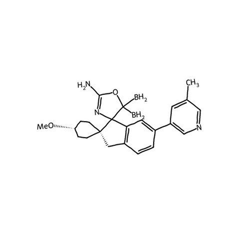 BC1(B)OC(N)=NC12c1cc(-c3cncc(C)c3)ccc1C[C@]21CC[C@@H](OC)CC1